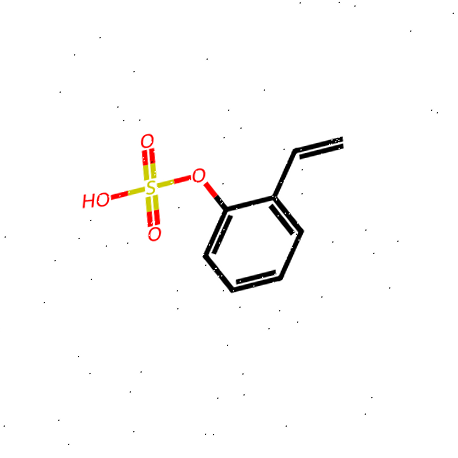 C=Cc1ccccc1OS(=O)(=O)O